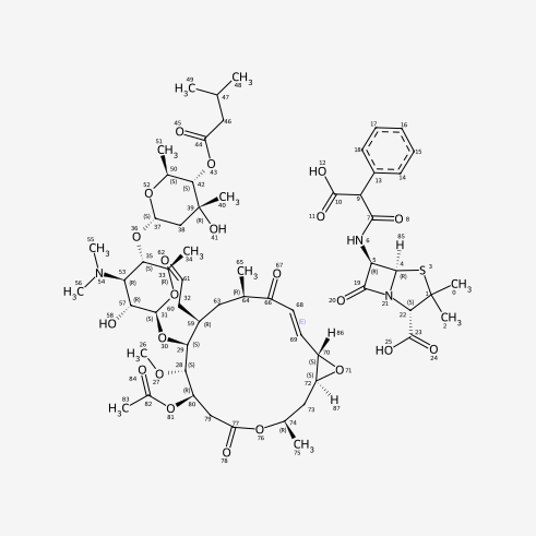 CC1(C)S[C@@H]2[C@H](NC(=O)C(C(=O)O)c3ccccc3)C(=O)N2[C@H]1C(=O)O.CO[C@@H]1[C@@H](O[C@@H]2O[C@H](C)[C@@H](O[C@H]3C[C@@](C)(O)[C@@H](OC(=O)CC(C)C)[C@H](C)O3)[C@H](N(C)C)[C@H]2O)[C@@H](CC=O)C[C@@H](C)C(=O)/C=C/[C@@H]2O[C@H]2C[C@@H](C)OC(=O)C[C@H]1OC(C)=O